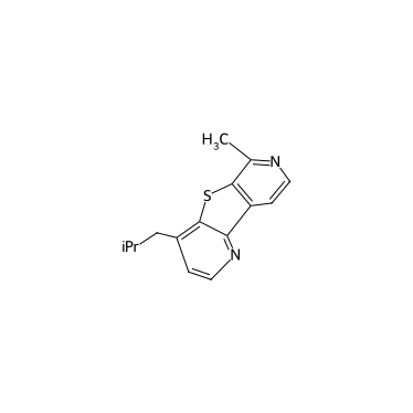 Cc1nccc2c1sc1c(CC(C)C)ccnc12